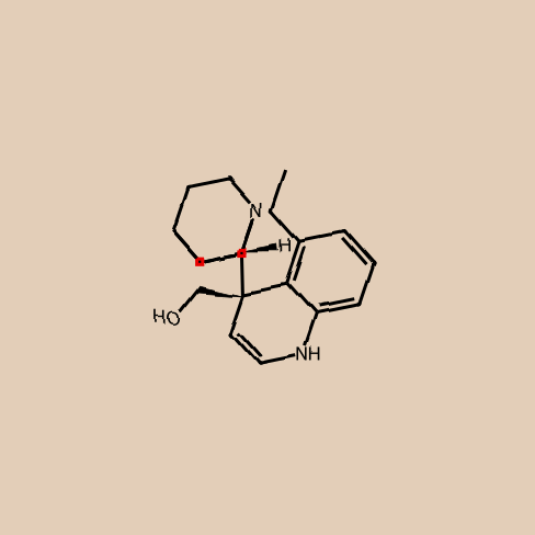 CCc1cccc2c1[C@@](CO)([C@@H]1CC3CCN1CC3)C=CN2